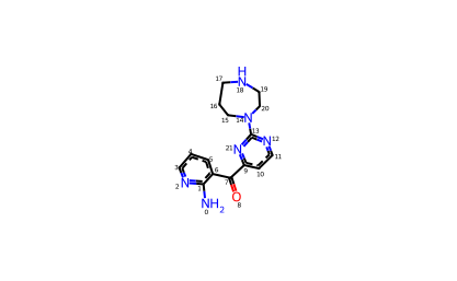 Nc1ncccc1C(=O)c1ccnc(N2CCCNCC2)n1